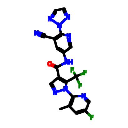 Cc1cc(F)cnc1-n1ncc(C(=O)Nc2cnc(-n3nccn3)c(C#N)c2)c1C(F)(F)F